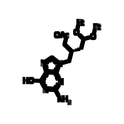 CCOC(C[C@@H](COC(C)=O)Cn1cnc2c(O)nc(N)nc21)OCC